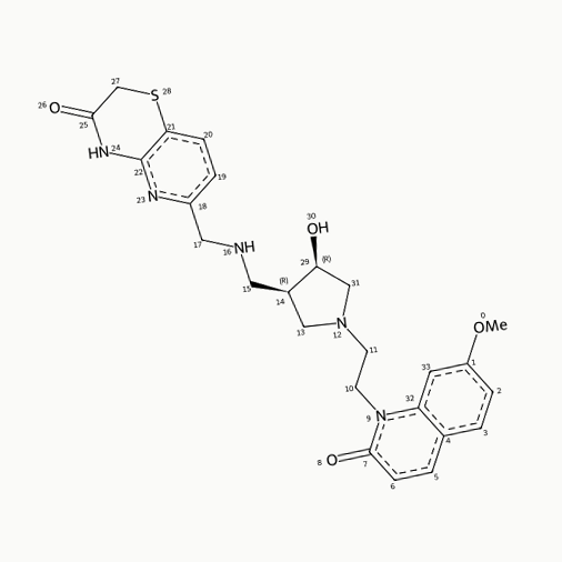 COc1ccc2ccc(=O)n(CCN3C[C@@H](CNCc4ccc5c(n4)NC(=O)CS5)[C@@H](O)C3)c2c1